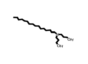 CCCCCCCCCCCCCCC=CN(CCCO)CCCO